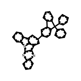 c1ccc(C2(c3ccccc3)c3ccccc3-c3cc(-c4cc5c6ccccc6n6c7nc8ccccc8nc7c(c4)c56)ccc32)cc1